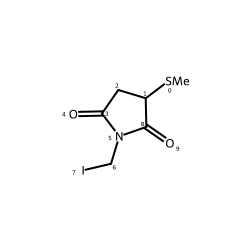 CSC1CC(=O)N(CI)C1=O